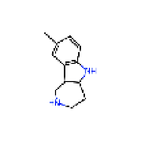 Cc1ccc2c(c1)C1CNCCC1N2